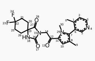 Cc1ccncc1-c1c(C)cc(C(=O)CN2C(=O)NC3(CCC(F)(F)CC3)C2=O)n1C